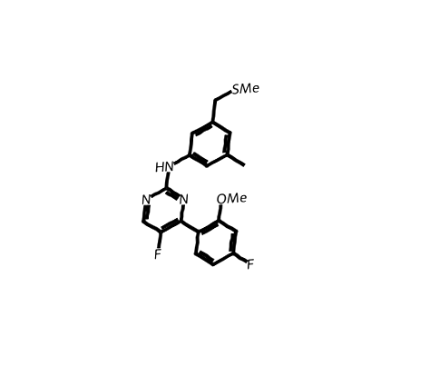 COc1cc(F)ccc1-c1nc(Nc2cc(C)cc(CSC)c2)ncc1F